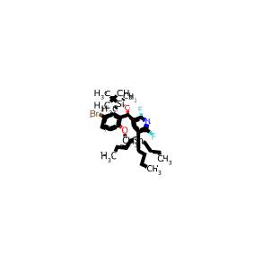 CCC[CH2][Sn]([CH2]CCC)([CH2]CCC)[c]1cc(C(O[Si](C)(C)C(C)(C)C)c2cc(Br)ccc2OC)c(F)nc1F